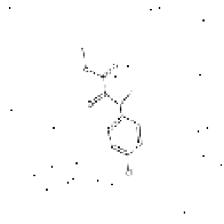 COC(=O)C(=O)C(C)c1ccc(Cl)cc1